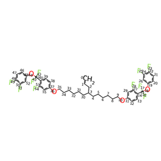 C=CCC(CCCCCCOc1ccc(C(F)(F)Oc2ccc(F)c(F)c2)c(F)c1)CCCCCCOc1ccc(C(F)(F)Oc2ccc(F)c(F)c2)c(F)c1